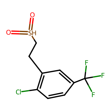 O=[SH](=O)CCc1cc(C(F)(F)F)ccc1Cl